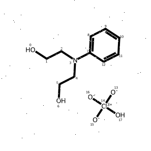 OCCN(CCO)c1ccccc1.[O-][Cl+3]([O-])([O-])O